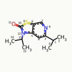 CC(C)c1cc2c(cn1)sc(=O)n2C(C)C